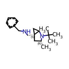 C[C@@H]1C[C@@]2(CNCc3ccccc3)CC2N1C(C)(C)C